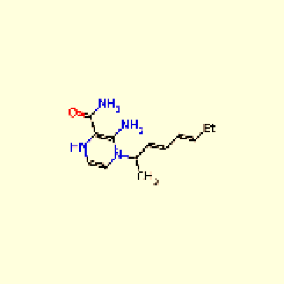 CC/C=C/C=C/C(C)N1C=CNC(C(N)=O)=C1N